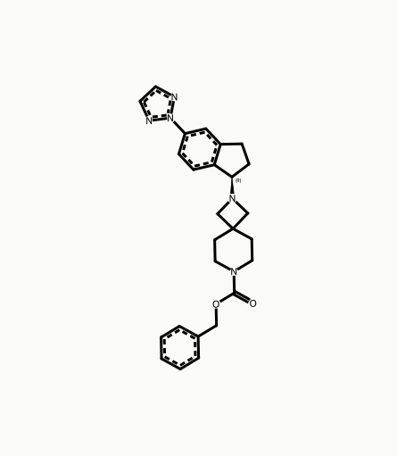 O=C(OCc1ccccc1)N1CCC2(CC1)CN([C@@H]1CCc3cc(-n4nccn4)ccc31)C2